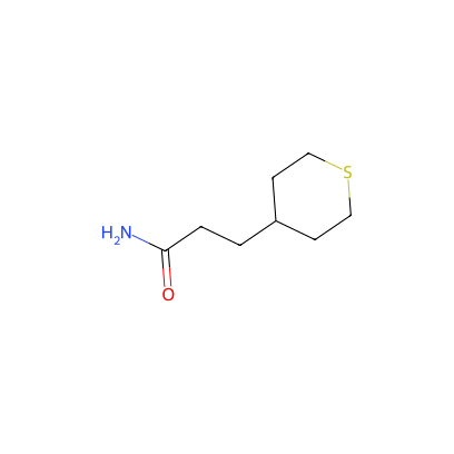 NC(=O)CCC1CCSCC1